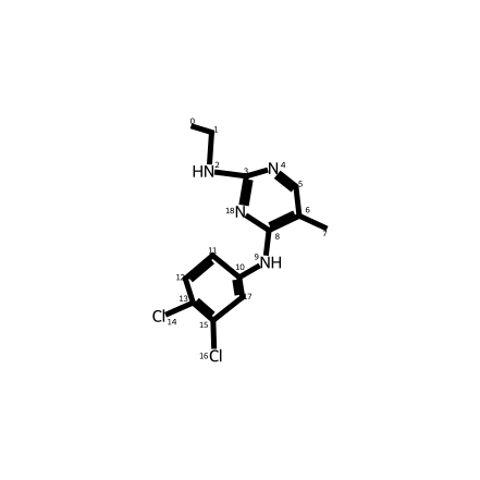 CCNc1ncc(C)c(Nc2ccc(Cl)c(Cl)c2)n1